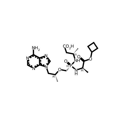 C[C@H](Cn1cnc2c(N)ncnc21)OC[P@](=O)(N[C@@H](C)CC(=O)O)N[C@H](C)C(=O)OC1CCC1